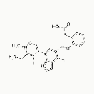 C=N/C(CN)=C(F)\C(=C/C)c1cc(COc2ccccc2CC(=O)O)c(F)c2ccoc12